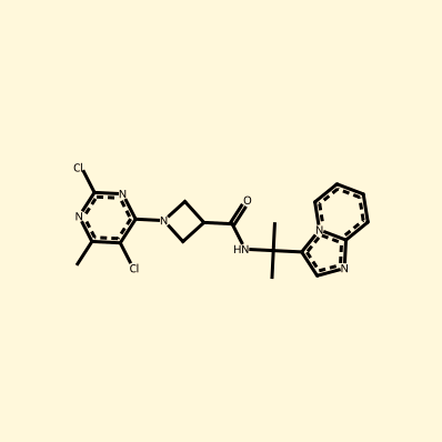 Cc1nc(Cl)nc(N2CC(C(=O)NC(C)(C)c3cnc4ccccn34)C2)c1Cl